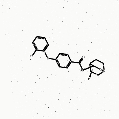 O=C(N[C@H]1CN2CCC1CC2)c1ccc(Sc2ccccc2Cl)cc1